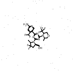 CCC(F)(F)C1COCC(C)N1c1nc(-c2cnc(N)cc2C(F)F)nc(N2/C(=C/O)CC(F)(F)C2C)n1